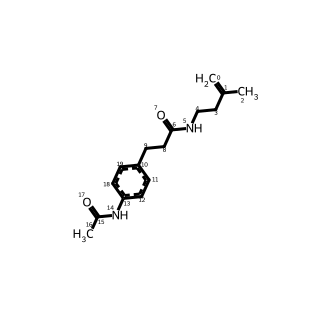 C=C(C)CCNC(=O)CCc1ccc(NC(C)=O)cc1